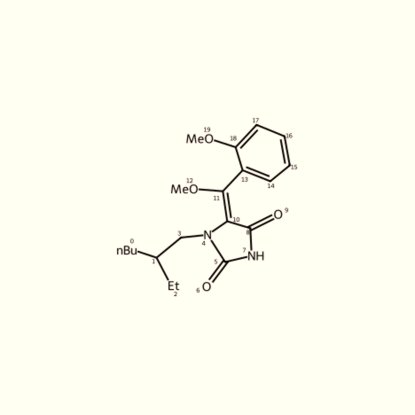 CCCCC(CC)CN1C(=O)NC(=O)C1=C(OC)c1ccccc1OC